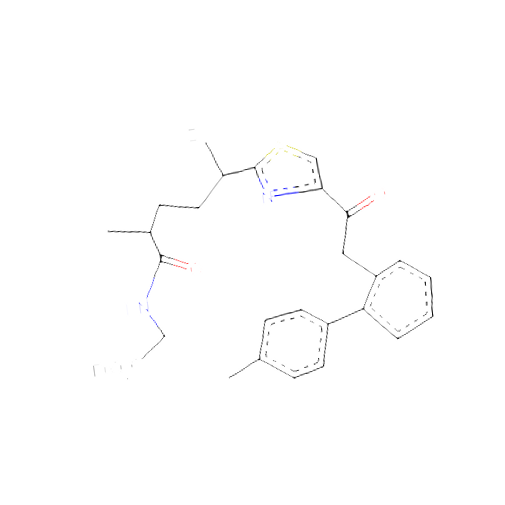 CCOC(=O)CNC(=O)C(C)CCC(CC)c1nc(C(=O)Cc2ccccc2-c2ccc(C)cc2)cs1